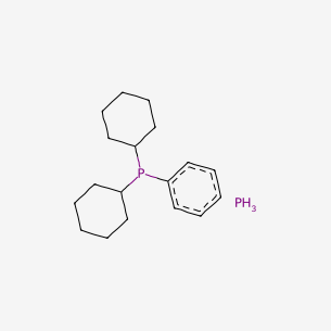 P.c1ccc(P(C2CCCCC2)C2CCCCC2)cc1